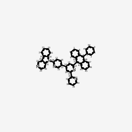 c1ccc(-c2c3ccccc3c(-c3cc(-c4ccc(-n5c6ccccc6c6cnccc65)nc4)cc(-c4ccccn4)n3)c3ccccc23)cc1